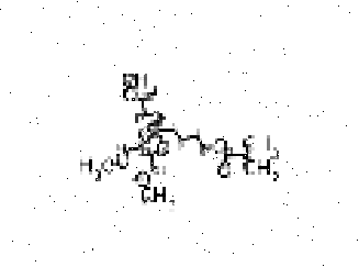 C=C(C)C(=O)OCCCC[Si](OCCOC)(OCCOC)OCCOC